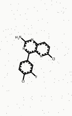 Nc1nc(-c2ccc(Cl)c(F)c2)c2nc(Cl)ccc2n1